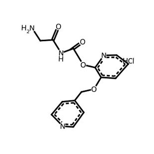 Cl.NCC(=O)NC(=O)Oc1ncccc1OCc1ccncc1